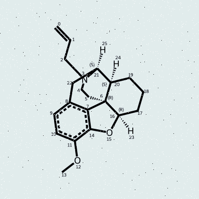 C=CCN1CC[C@@]23c4c5ccc(OC)c4O[C@@H]2CCC[C@@H]3[C@@H]1C5